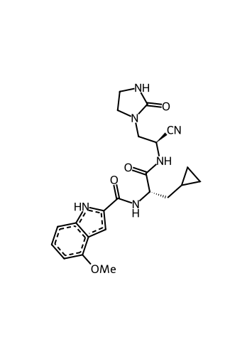 COc1cccc2[nH]c(C(=O)N[C@@H](CC3CC3)C(=O)N[C@H](C#N)CN3CCNC3=O)cc12